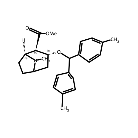 COC(=O)[C@H]1[C@H](OC(c2ccc(C)cc2)c2ccc(C)cc2)CC2CC[C@@H]1N2C